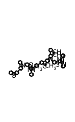 CC1(C)c2ccccc2-c2cc3c4cc5c(cc4n(-c4ccc6sc7c(-c8ccccn8)nc(-c8ccccc8)nc7c6c4)c3cc21)C(C)(C)c1cc(-c2ccc(-c3nc(-c4ccccc4)nc4c3oc3ccc(-n6c7ccccc7c7cc(-c8ccc9oc%10ccccc%10c9c8)ccc76)cc34)cc2)ccc1-5